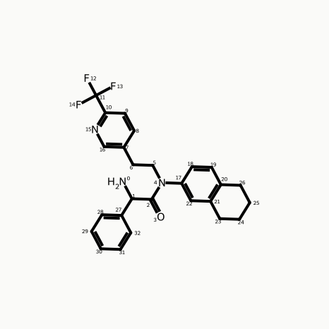 NC(C(=O)N(CCc1ccc(C(F)(F)F)nc1)c1ccc2c(c1)CCCC2)c1ccccc1